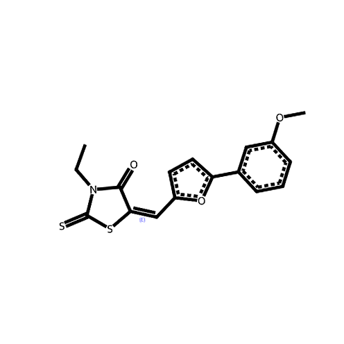 CCN1C(=O)/C(=C\c2ccc(-c3cccc(OC)c3)o2)SC1=S